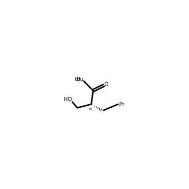 CC(C)C[C@H](CO)C(=O)C(C)(C)C